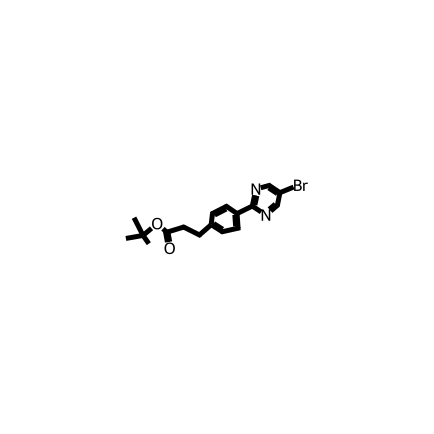 CC(C)(C)OC(=O)CCc1ccc(-c2ncc(Br)cn2)cc1